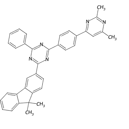 Cc1cc(-c2ccc(-c3nc(-c4ccccc4)nc(-c4ccc5c(c4)-c4ccccc4C5(C)C)n3)cc2)nc(C)n1